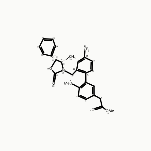 COC(=O)Cc1ccc(OC)c(-c2ccc(C(F)(F)F)cc2CN2C(=O)O[C@H](c3ccccc3)[C@@H]2C)c1